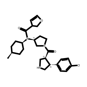 C[C@H]1CC[C@@H](N(C(=O)C2C=COC2)[C@H]2CCN(C(=O)[C@@H]3CNC[C@H]3c3ccc(Cl)cc3)C2)CC1